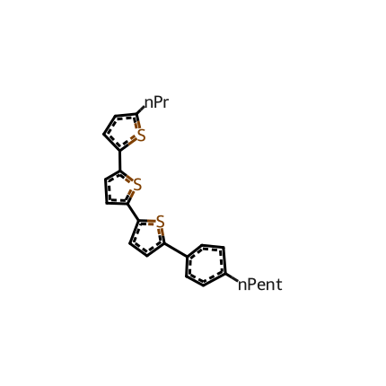 CCCCCc1ccc(-c2ccc(-c3ccc(-c4ccc(CCC)s4)s3)s2)cc1